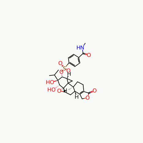 CNC(=O)c1ccc(S(=O)(=O)O[C@@H]2[C@@H]3CC34[C@]3(O[C@H]3C[C@H]3C5=C(CC[C@@]34C)C(=O)OC5)[C@H](O)[C@]2(O)C(C)C)cc1